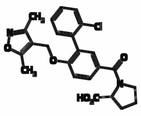 Cc1noc(C)c1COc1ccc(C(=O)N2CCCC2C(=O)O)cc1-c1ccccc1Cl